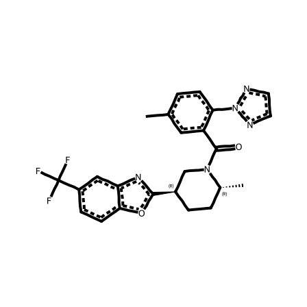 Cc1ccc(-n2nccn2)c(C(=O)N2C[C@H](c3nc4cc(C(F)(F)F)ccc4o3)CC[C@H]2C)c1